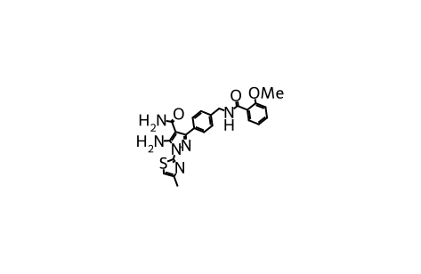 COc1ccccc1C(=O)NCc1ccc(-c2nn(-c3nc(C)cs3)c(N)c2C(N)=O)cc1